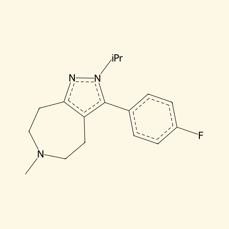 CC(C)n1nc2c(c1-c1ccc(F)cc1)CCN(C)CC2